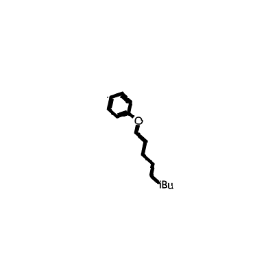 CCC(C)CCCCCOc1cc[c]cc1